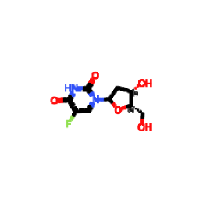 O=c1[nH]c(=O)n(C2C[C@H](O)[C@H](CO)O2)cc1F